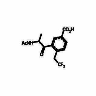 CC(=O)NC(C)C(=O)c1cc(C(=O)O)ccc1CC(F)(F)F